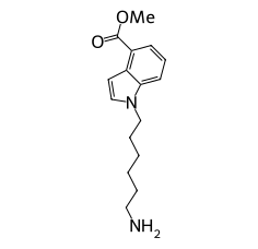 COC(=O)c1cccc2c1ccn2CCCCCCN